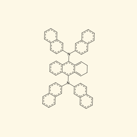 C1=c2c(N(c3ccc4ccccc4c3)c3ccc4ccccc4c3)c3ccccc3c(N(c3ccc4ccccc4c3)c3ccc4ccccc4c3)c2=CCC1